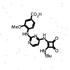 COc1cc(C(=O)O)ccc1Nc1nccc(Nc2c(NC(C)(C)C)c(=O)c2=O)n1